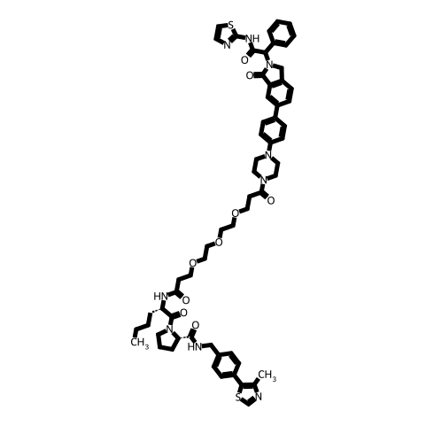 CCCC[C@H](NC(=O)CCOCCOCCOCCC(=O)N1CCN(c2ccc(-c3ccc4c(c3)C(=O)N(C(C(=O)Nc3nccs3)c3ccccc3)C4)cc2)CC1)C(=O)N1CCC[C@H]1C(=O)NCc1ccc(-c2scnc2C)cc1